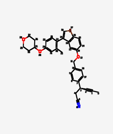 CC#C[C@@H](CC#N)c1ccc(COc2ccc3scc(-c4ccc(OC5CCOCC5)cc4C)c3c2)cc1